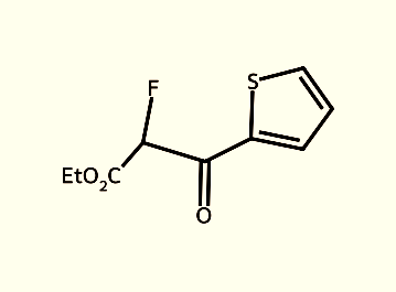 CCOC(=O)C(F)C(=O)c1cccs1